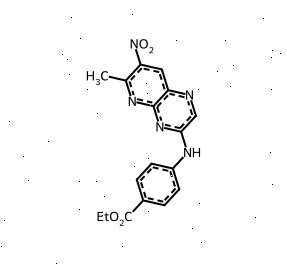 CCOC(=O)c1ccc(Nc2cnc3cc([N+](=O)[O-])c(C)nc3n2)cc1